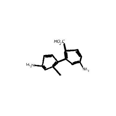 Cc1cc(N)ccc1-c1cc(N)ccc1C(=O)O